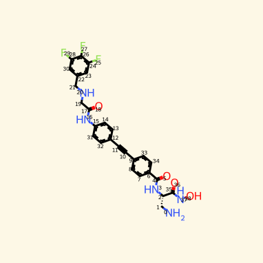 NC[C@H](NC(=O)c1ccc(C#Cc2ccc(NC(=O)CNCc3cc(F)c(F)c(F)c3)cc2)cc1)C(=O)NO